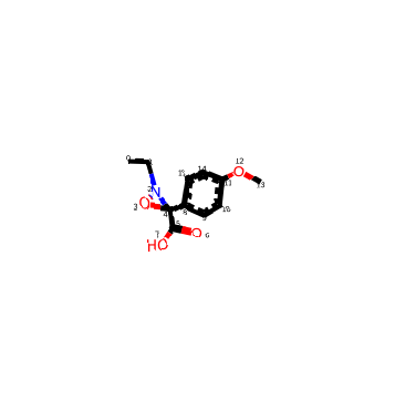 CCN1OC1(C(=O)O)c1ccc(OC)cc1